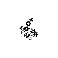 CC(C)N[C@H]1CC[C@@H](C2C=C(OC(C)C)C(Nc3ncc(Cl)c(Nc4cn(C)nc4S(=O)(=O)C(C)C)n3)=CC2C)CC1